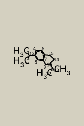 CC(C)c1ccc2c(c1)CC(C(C)C)CC2